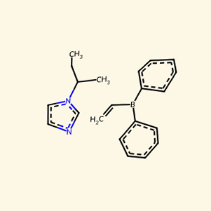 C=CB(c1ccccc1)c1ccccc1.CCC(C)n1ccnc1